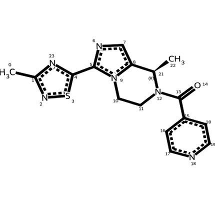 Cc1nsc(-c2ncc3n2CCN(C(=O)c2ccncc2)[C@@H]3C)n1